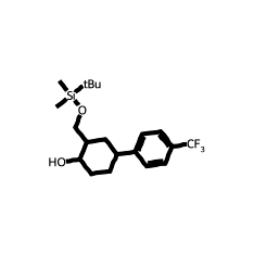 CC(C)(C)[Si](C)(C)OCC1CC(c2ccc(C(F)(F)F)cc2)CCC1O